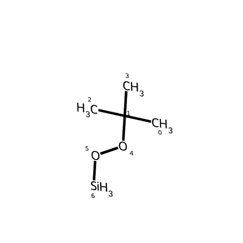 CC(C)(C)OO[SiH3]